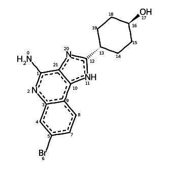 Nc1nc2cc(Br)ccc2c2[nH]c([C@H]3CC[C@H](O)CC3)nc12